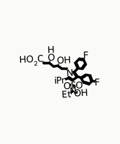 CCN(O)S(=O)(=O)c1c(-c2ccc(F)cc2)c(-c2ccc(F)cc2)n(CC[C@@H](O)C[C@@H](O)CC(=O)O)c1C(C)C